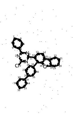 Clc1nc(-c2ccccc2)nc(-c2ccc3c(oc4ccccc43)c2-c2ccc(-c3ccccc3)cc2)n1